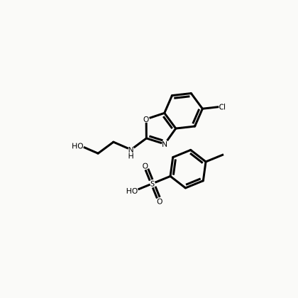 Cc1ccc(S(=O)(=O)O)cc1.OCCNc1nc2cc(Cl)ccc2o1